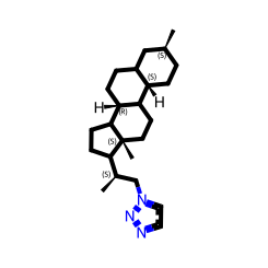 C[C@H]1CC[C@H]2C(CC[C@@H]3C2CC[C@@]2(C)C3CCC2[C@H](C)Cn2ccnn2)C1